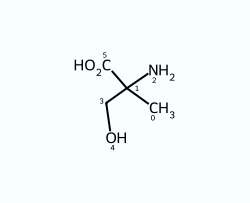 CC(N)(CO)C(=O)O